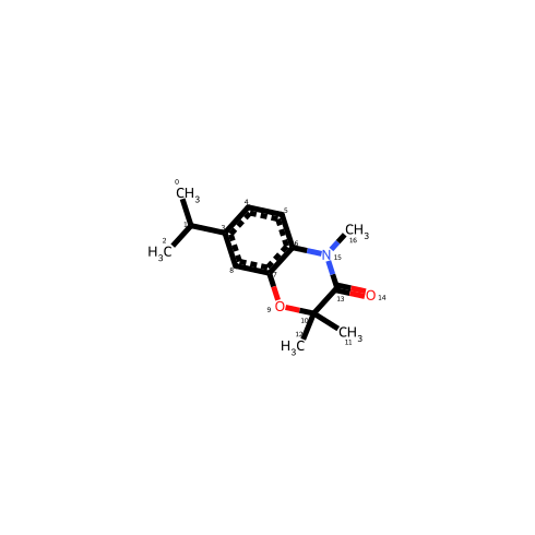 CC(C)c1ccc2c(c1)OC(C)(C)C(=O)N2C